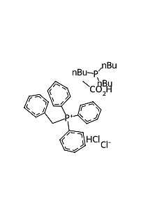 CC(=O)O.CCCCP(CCCC)CCCC.Cl.[Cl-].c1ccc(C[P+](c2ccccc2)(c2ccccc2)c2ccccc2)cc1